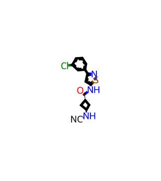 N#CN[C@H]1C[C@H](C(=O)Nc2cc(-c3cccc(Cl)c3)ns2)C1